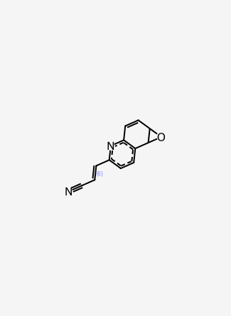 N#C/C=C/c1ccc2c(n1)C=CC1OC21